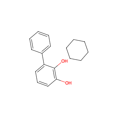 C1CCCCC1.Oc1cccc(-c2ccccc2)c1O